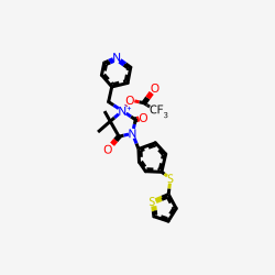 CC1(C)C(=O)N(c2ccc(Sc3cccs3)cc2)C(=O)[N+]1(Cc1ccncc1)OC(=O)C(F)(F)F